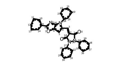 O=C1C(=Cc2cc3oc(-c4ccccc4)nc3n2-c2ccccc2)C(=O)N(c2ccccc2)N1c1ccccc1